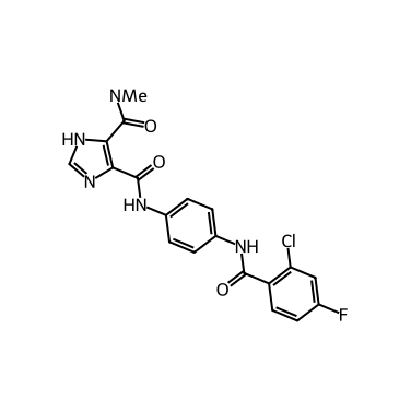 CNC(=O)c1[nH]cnc1C(=O)Nc1ccc(NC(=O)c2ccc(F)cc2Cl)cc1